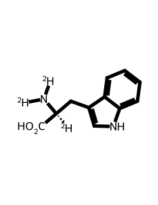 [2H]N([2H])[C@@]([2H])(Cc1c[nH]c2ccccc12)C(=O)O